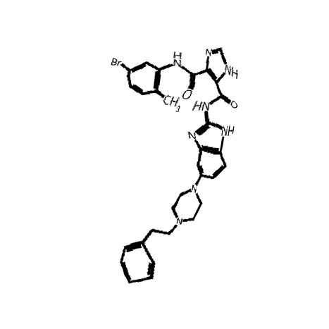 Cc1ccc(Br)cc1NC(=O)c1nc[nH]c1C(=O)Nc1nc2cc(N3CCN(CCc4ccccc4)CC3)ccc2[nH]1